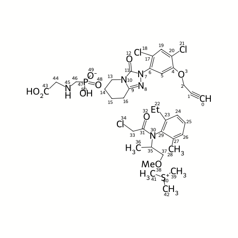 C#CCOc1cc(-n2nc3n(c2=O)CCCC3)c(Cl)cc1Cl.CCc1cccc(C)c1N(C(=O)CCl)C(C)COC.C[S+](C)C.O=C(O)CNCP(=O)([O-])O